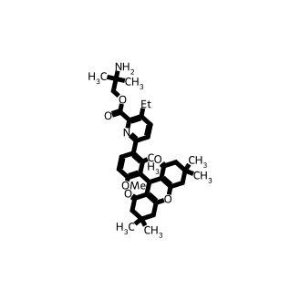 CCc1ccc(-c2ccc(OC)c(C3C4=C(CC(C)(C)CC4=O)OC4=C3C(=O)CC(C)(C)C4)c2C)nc1C(=O)OCC(C)(C)N